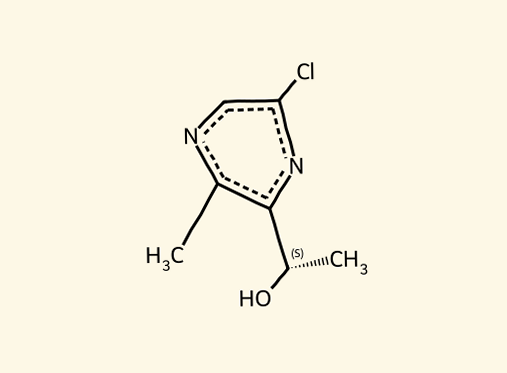 Cc1ncc(Cl)nc1[C@H](C)O